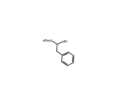 [CH2]CCCCN(CCC)Cc1ccccc1